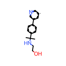 CC(C)(NCCO)c1ccc(-c2c[c]cnc2)cc1